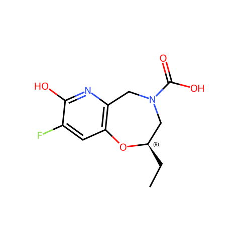 CC[C@@H]1CN(C(=O)O)Cc2nc(O)c(F)cc2O1